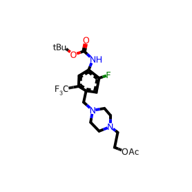 CC(=O)OCCN1CCN(Cc2cc(F)c(NC(=O)OC(C)(C)C)cc2C(F)(F)F)CC1